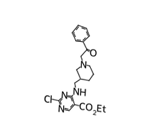 CCOC(=O)c1cnc(Cl)nc1NCC1CCCN(CC(=O)c2ccccc2)C1